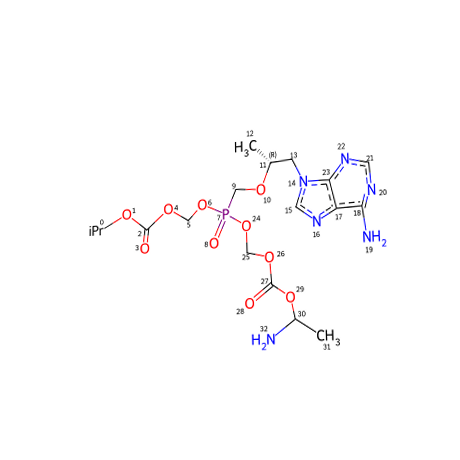 CC(C)OC(=O)OCOP(=O)(CO[C@H](C)Cn1cnc2c(N)ncnc21)OCOC(=O)OC(C)N